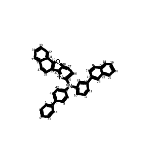 c1ccc(-c2ccc(N(c3cccc(-c4ccc5ccccc5c4)c3)c3ccc4oc5c6ccccc6ccc5c4n3)cc2)cc1